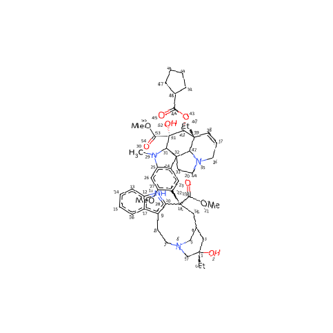 CC[C@]1(O)CC2CN(CCc3c([nH]c4ccccc34)[C@@](C(=O)OC)(c3cc4c(cc3OC)N(C)C3C45CCN4CC=C[C@](CC)(C45)[C@@H](OC(=O)C4CCCC4)[C@]3(O)C(=O)OC)C2)C1